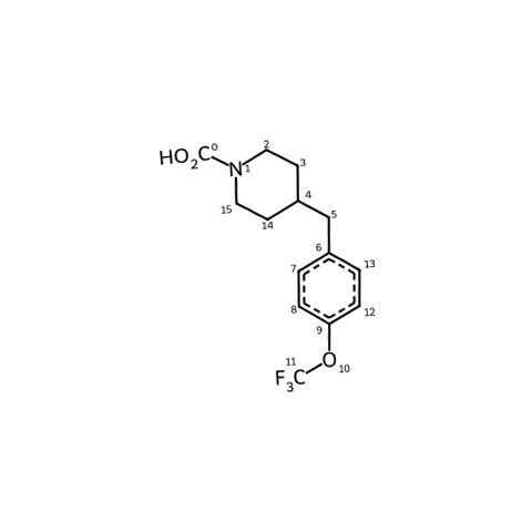 O=C(O)N1CCC(Cc2ccc(OC(F)(F)F)cc2)CC1